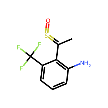 CC(=S=O)c1c(N)cccc1C(F)(F)F